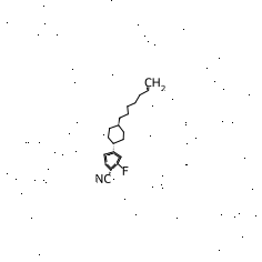 C=CCCCCC[C@H]1CC[C@H](c2ccc(C#N)c(F)c2)CC1